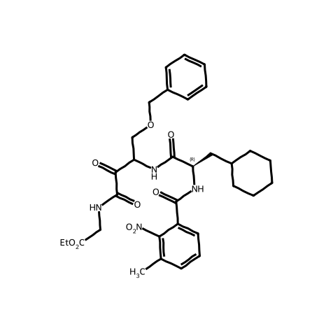 CCOC(=O)CNC(=O)C(=O)C(COCc1ccccc1)NC(=O)[C@@H](CC1CCCCC1)NC(=O)c1cccc(C)c1[N+](=O)[O-]